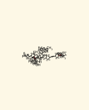 COC(=O)N[C@H](C(=O)N[C@@H](Cc1ccc(C#Cc2ccc(N3CC4CCC(C3)N4C3(C)COC3)nc2)cc1)[C@@H](O)CN(Cc1c(F)cc(-c2ccn(C(F)F)n2)cc1F)NC(=O)[C@@H](NC(=O)O)C(C)(C)C(F)(F)F)C(C)(C)C(F)(F)F